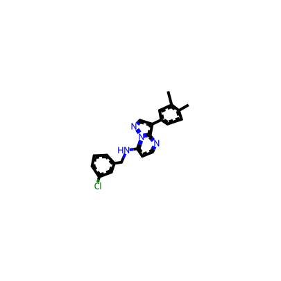 Cc1ccc(-c2cnn3c(NCc4cccc(Cl)c4)ccnc23)cc1C